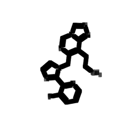 CCCc1c(Cn2ccnc2-c2ncccc2F)ncn2cnnc12